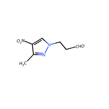 Cc1nn(CCC=O)cc1[N+](=O)[O-]